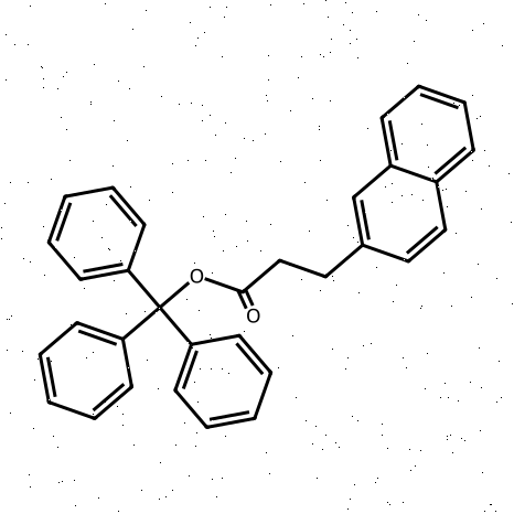 O=C(CCc1ccc2ccccc2c1)OC(c1ccccc1)(c1ccccc1)c1ccccc1